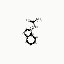 NC(=O)Nn1cnc2ccccc21